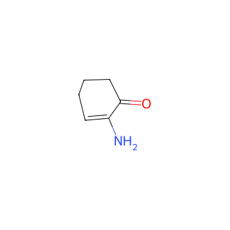 NC1=CCCCC1=O